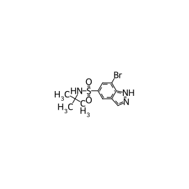 CC(C)(C)NS(=O)(=O)c1cc(Br)c2[nH]ncc2c1